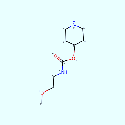 COCCNC(=O)OC1CCNCC1